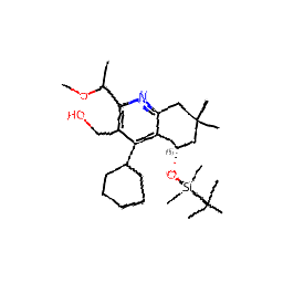 COC(C)c1nc2c(c(C3CCCCC3)c1CO)[C@@H](O[Si](C)(C)C(C)(C)C)CC(C)(C)C2